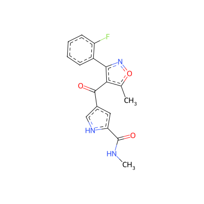 CNC(=O)c1cc(C(=O)c2c(-c3ccccc3F)noc2C)c[nH]1